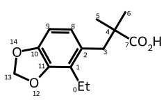 CCc1c(CC(C)(C)C(=O)O)ccc2c1OCO2